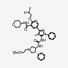 COCCN1C[C@@H](NC(=O)Nc2c(C)c(-c3cnc(OCC(F)F)c(C(=O)NC4CCOCC4)c3)nn2-c2ccccc2)[C@H](c2ccccc2)C1